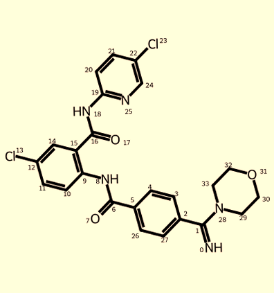 N=C(c1ccc(C(=O)Nc2ccc(Cl)cc2C(=O)Nc2ccc(Cl)cn2)cc1)N1CCOCC1